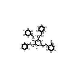 C[C@@H]1[C@@H](OCc2ccccc2)[C@H](OCc2ccccc2)[C@@H](OCc2ccccc2)CN1CCc1ccccc1F